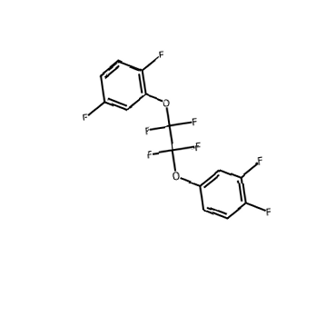 Fc1ccc(F)c(OC(F)(F)C(F)(F)Oc2ccc(F)c(F)c2)c1